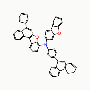 C1=Cc2cc(-c3ccc(N(c4ccc5c(c4)oc4ccccc45)c4cccc5c4oc4cc(-c6ccccc6)c6ccccc6c45)cc3)c3ccccc3c2CC1